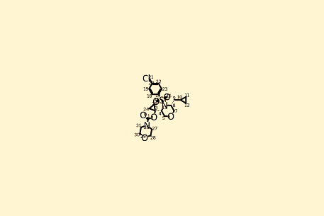 O=C(OC1([C@H]2COC[C@@H](CC3CC3)N2S(=O)(=O)c2ccc(Cl)cc2)CC1)N1CCOCC1